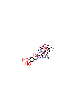 CC(C)(NC(=O)Cc1ccc(O)c(O)c1)C(=O)N1CCCC1C(=O)OC1CC2CCC1(C)C2(C)C